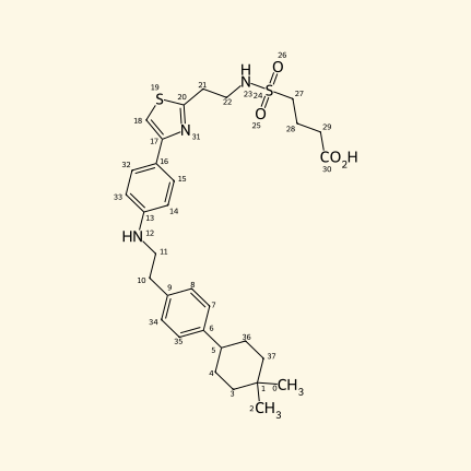 CC1(C)CCC(c2ccc(CCNc3ccc(-c4csc(CCNS(=O)(=O)CCCC(=O)O)n4)cc3)cc2)CC1